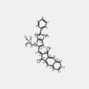 Cn1c(-c2ccccc2)nc2c1cc(C=C1C(=O)c3cc4ccccc4cc3C1=O)n2C[Si](C)(C)C